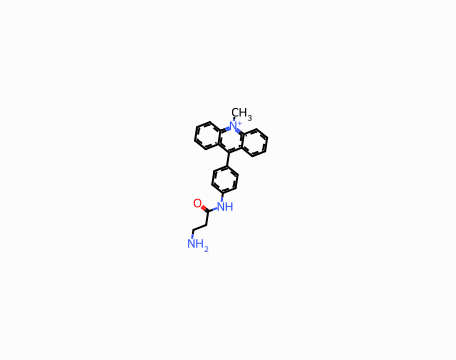 C[n+]1c2ccccc2c(-c2ccc(NC(=O)CCN)cc2)c2ccccc21